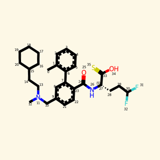 Cc1ccccc1-c1cc(CN(C)CCC2CCCCC2)ccc1C(=O)N[C@@H](CCC(F)F)C(O)=S